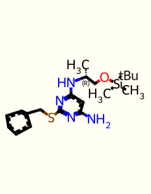 C[C@H](CO[Si](C)(C)C(C)(C)C)Nc1cc(N)nc(SCc2ccccc2)n1